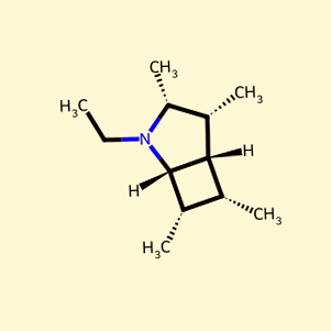 CCN1[C@H]2[C@@H](C)[C@@H](C)[C@H]2[C@@H](C)[C@H]1C